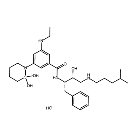 CCNc1cc(C(=O)N[C@@H](Cc2ccccc2)[C@H](O)CNCCCC(C)C)cc(N2CCCCS2(O)O)c1.Cl